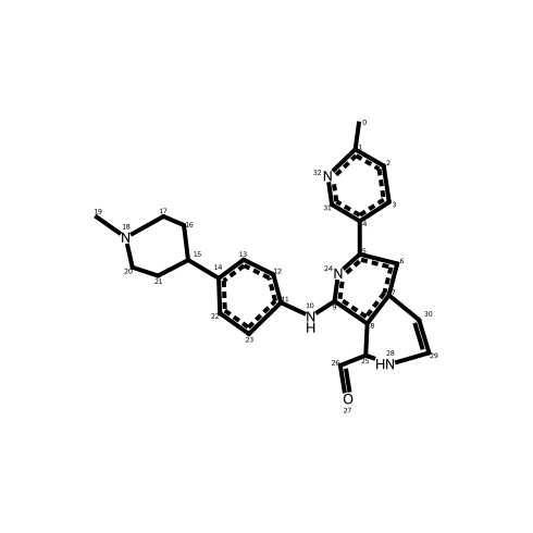 Cc1ccc(-c2cc3c(c(Nc4ccc(C5CCN(C)CC5)cc4)n2)C(C=O)NC=C3)cn1